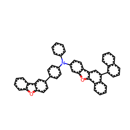 c1ccc(N(c2ccc(-c3ccc4oc5ccccc5c4c3)cc2)c2ccc3c(c2)oc2c4ccccc4c(-c4cccc5ccccc45)cc32)cc1